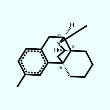 Cc1ccc2c(c1)[C@]13CCCC[C@@H]1[C@H](C2)N(C)CC3